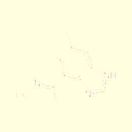 C/C(=N\O)c1cc(F)cc2[nH]cnc12